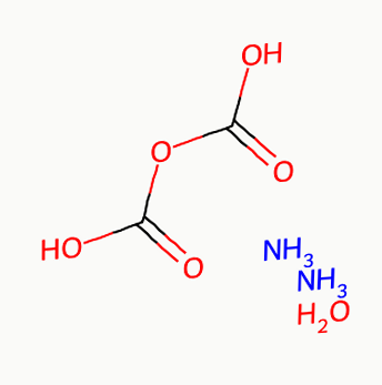 N.N.O.O=C(O)OC(=O)O